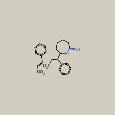 N=C1CCCCC(C(C[N+](=O)[O-])c2ccccc2)N1.O=[N+]([O-])/C=C/c1ccccc1